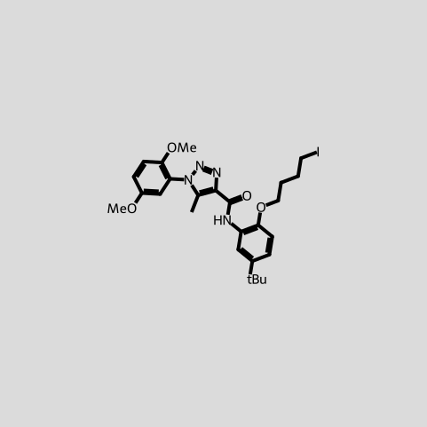 COc1ccc(OC)c(-n2nnc(C(=O)Nc3cc(C(C)(C)C)ccc3OCCCCI)c2C)c1